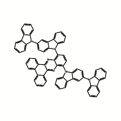 c1ccc2c(c1)c1ccccc1c1nc3c(-n4c5ccccc5c5cc(-n6c7ccccc7c7ccccc76)ccc54)ccc(-n4c5ccccc5c5cc(-n6c7ccccc7c7ccccc76)ccc54)c3nc21